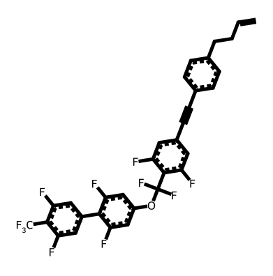 C=CCCc1ccc(C#Cc2cc(F)c(C(F)(F)Oc3cc(F)c(-c4cc(F)c(C(F)(F)F)c(F)c4)c(F)c3)c(F)c2)cc1